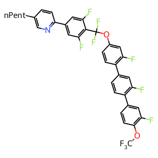 CCCCCc1ccc(-c2cc(F)c(C(F)(F)Oc3ccc(-c4ccc(-c5ccc(OC(F)(F)F)c(F)c5)c(F)c4)c(F)c3)c(F)c2)nc1